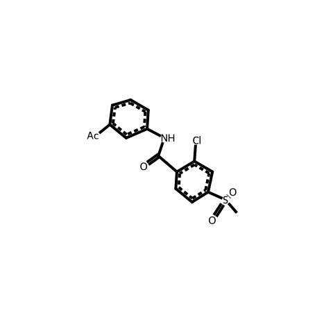 CC(=O)c1cccc(NC(=O)c2ccc(S(C)(=O)=O)cc2Cl)c1